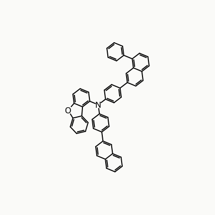 c1ccc(-c2cccc3ccc(-c4ccc(N(c5ccc(-c6ccc7ccccc7c6)cc5)c5cccc6oc7ccccc7c56)cc4)cc23)cc1